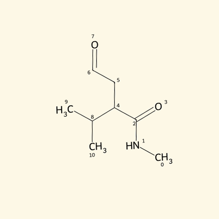 CNC(=O)C(CC=O)C(C)C